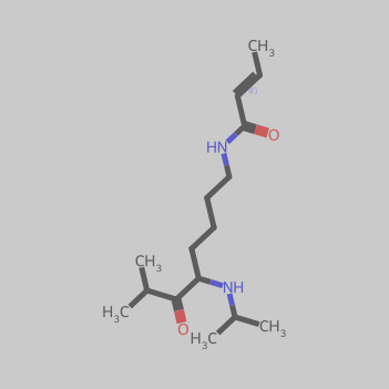 C/C=C/C(=O)NCCCCC(NC(C)C)C(=O)C(C)C